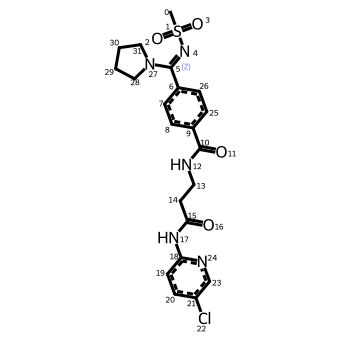 CS(=O)(=O)/N=C(/c1ccc(C(=O)NCCC(=O)Nc2ccc(Cl)cn2)cc1)N1CCCC1